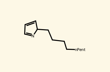 CCCCCCCCC[C]1C=CC=N1